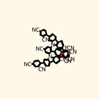 N#Cc1ccc(-c2ccc3c4ccc(-c5ccc(C#N)cc5C#N)cc4n(-c4cc(C#N)cc(-n5c6cc(-c7ccc(C#N)cc7C#N)ccc6c6ccc(-c7ccc(C#N)cc7C#N)cc65)c4-c4cc(C(F)(F)F)cc(C(F)(F)F)c4)c3c2)c(C#N)c1